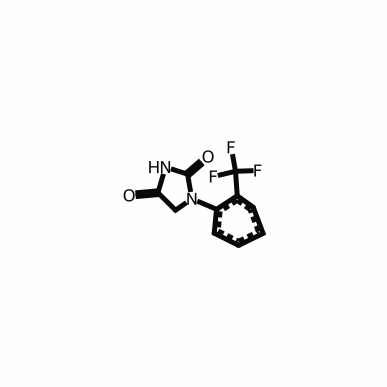 O=C1CN(c2ccccc2C(F)(F)F)C(=O)N1